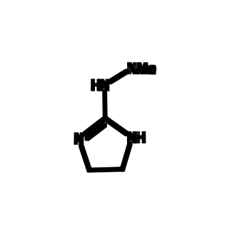 CNNC1=NCCN1